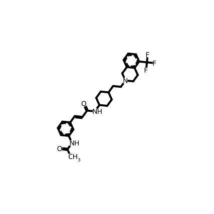 CC(=O)Nc1cccc(C=CC(=O)NC2CCC(CCN3CCc4c(cccc4C(F)(F)F)C3)CC2)c1